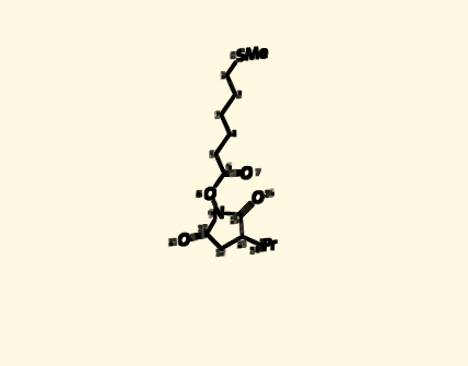 CSCCCCCC(=O)ON1C(=O)CC(C(C)C)C1=O